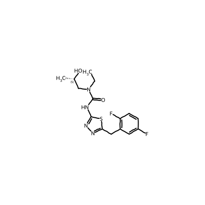 CCN(C[C@H](C)O)C(=O)Nc1nnc(Cc2cc(F)ccc2F)s1